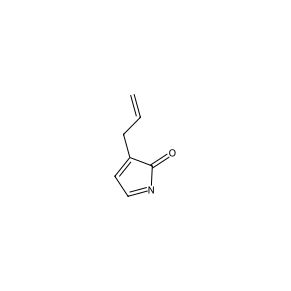 C=CCC1=CC=NC1=O